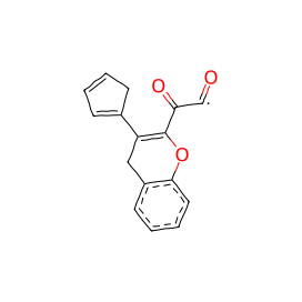 O=[C]C(=O)C1=C(C2=CC=CC2)Cc2ccccc2O1